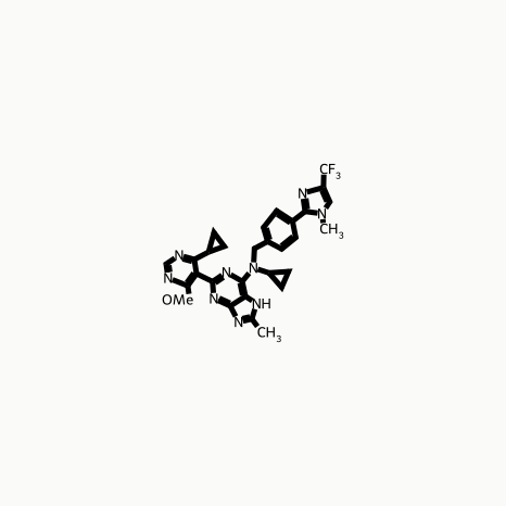 COc1ncnc(C2CC2)c1-c1nc(N(Cc2ccc(-c3nc(C(F)(F)F)cn3C)cc2)C2CC2)c2[nH]c(C)nc2n1